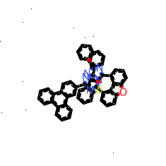 c1ccc(-c2nc(-c3ccc4c5ccccc5c5ccccc5c4c3)nc(-c3cccc4oc5cccc(-c6nc(-c7ccccc7)nc7c6sc6ccccc67)c5c34)n2)cc1